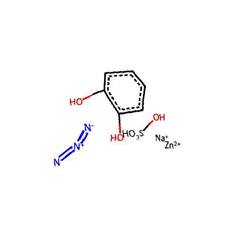 O=S(=O)(O)O.Oc1ccccc1O.[N-]=[N+]=[N-].[Na+].[Zn+2]